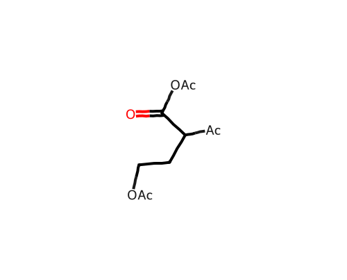 CC(=O)OCCC(C(C)=O)C(=O)OC(C)=O